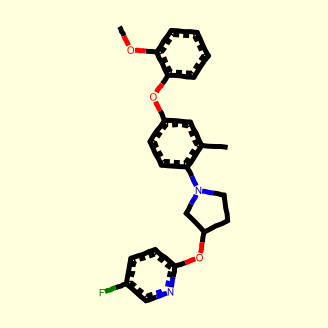 COc1ccccc1Oc1ccc(N2CCC(Oc3ccc(F)cn3)C2)c(C)c1